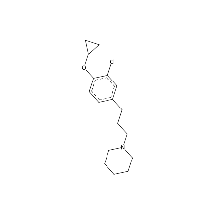 Clc1cc(CCCN2CCCCC2)ccc1OC1CC1